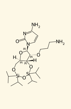 CC(C)[Si]1(C(C)C)OC[C@H]2O[C@@H](n3ccc(N)nc3=O)[C@H](OCCCN)[C@@H]2O[Si](C(C)C)(C(C)C)O1